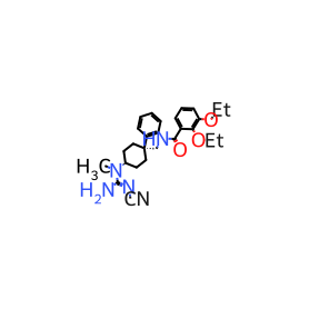 CCOc1cccc(C(=O)NC[C@]2(c3ccccc3)CC[C@H](N(C)C(N)=NC#N)CC2)c1OCC